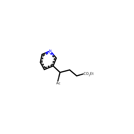 CCOC(=O)CCC(C(C)=O)c1cccnc1